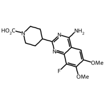 COc1cc2c(N)nc(C3CCN(C(=O)O)CC3)nc2c(F)c1OC